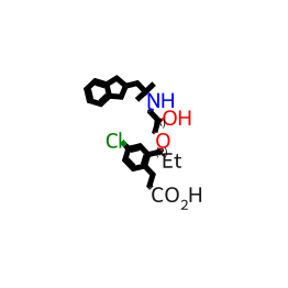 CC[C@@H](OC[C@H](O)CNC(C)(C)CC1Cc2ccccc2C1)c1cc(Cl)ccc1CCC(=O)O